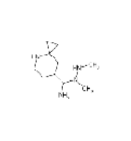 CNN(C)C(N)[C@@H]1CCNC2(CC2)C1